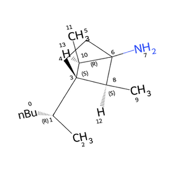 CCCC[C@@H](C)[C@@]12CCC(N)([C@H]1C)[C@@H]2C